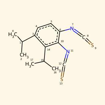 CC(C)c1ccc(N=C=S)c(N=C=S)c1C(C)C